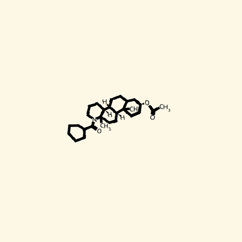 CC(=O)O[C@@H]1CCC2(C)C(CC[C@@H]3[C@@H]2CCC2(C)[C@H]3CCCN2C(=O)C2CCCCC2)C1